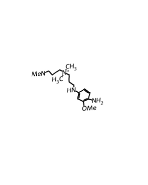 CNCCC[N+](C)(C)CCCNc1ccc(N)c(OC)c1